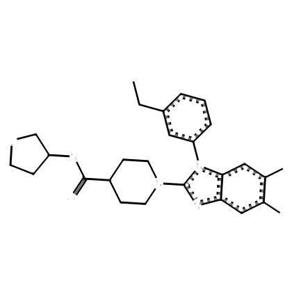 CCc1cccc(-n2c(N3CCC(C(=O)NC4CCOC4)CC3)nc3cc(Cl)c(Cl)cc32)c1